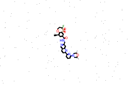 C#Cc1cc(C(=O)NCc2cc3nc(-c4cccc(N5C[C@@H](C)O[C@@H](C)C5)n4)ccc3cn2)cc2c1OCC[C@@H](F)S2(=O)=O